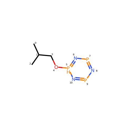 CC(C)CO[PH]1=NP=NP=N1